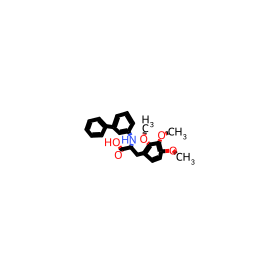 COc1ccc(CC(Nc2cccc(-c3ccccc3)c2)C(=O)O)c(OC)c1OC